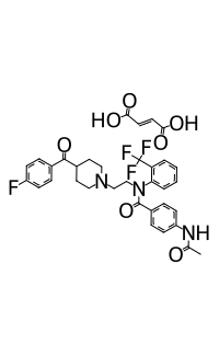 CC(=O)Nc1ccc(C(=O)N(CCN2CCC(C(=O)c3ccc(F)cc3)CC2)c2ccccc2C(F)(F)F)cc1.O=C(O)C=CC(=O)O